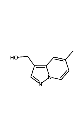 Cc1ccn2ncc(CO)c2c1